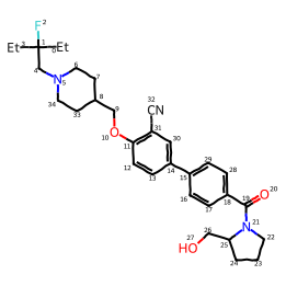 CCC(F)(CC)CN1CCC(COc2ccc(-c3ccc(C(=O)N4CCCC4CO)cc3)cc2C#N)CC1